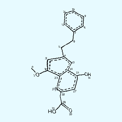 COc1cc(CCc2ccccc2)cc2c(O)cc(C(=O)O)nc12